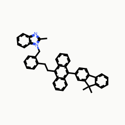 Cc1nc2ccccc2n1Cc1ccccc1CCc1c2ccccc2c(-c2ccc3c(c2)C(C)(C)c2ccccc2-3)c2ccccc12